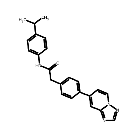 CC(C)c1ccc(NC(=O)Cc2ccc(-c3ccn4ncnc4c3)cc2)cc1